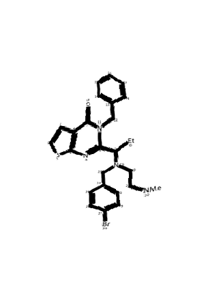 CCC(c1nc2sccc2c(=O)n1Cc1ccccc1)N(CCNC)Cc1ccc(Br)cc1